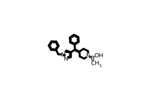 CB(O)N1CCC(=C(c2ccccc2)c2cnn(Cc3ccccc3)c2)CC1